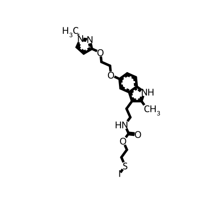 Cc1[nH]c2ccc(OCCOc3ccn(C)n3)cc2c1CCNC(=O)OCCSI